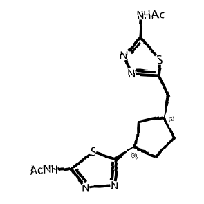 CC(=O)Nc1nnc(C[C@H]2CC[C@@H](c3nnc(NC(C)=O)s3)C2)s1